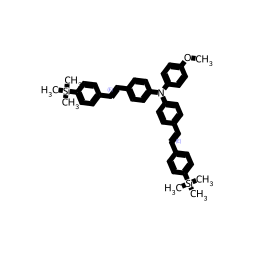 COc1ccc(N(c2ccc(/C=C/c3ccc([Si](C)(C)C)cc3)cc2)c2ccc(/C=C/c3ccc([Si](C)(C)C)cc3)cc2)cc1